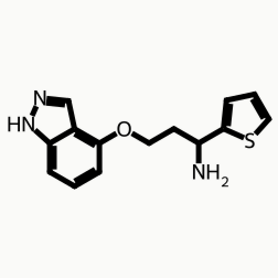 NC(CCOc1cccc2[nH]ncc12)c1cccs1